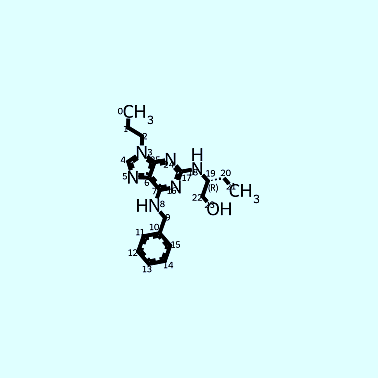 CCCn1cnc2c(NCc3ccccc3)nc(N[C@H](CC)CO)nc21